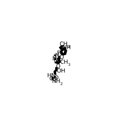 Cc1cc2c(F)c(Oc3ncnn4cc(OCC(O)CCNS(N)(=O)=O)c(C)c34)ccc2[nH]1